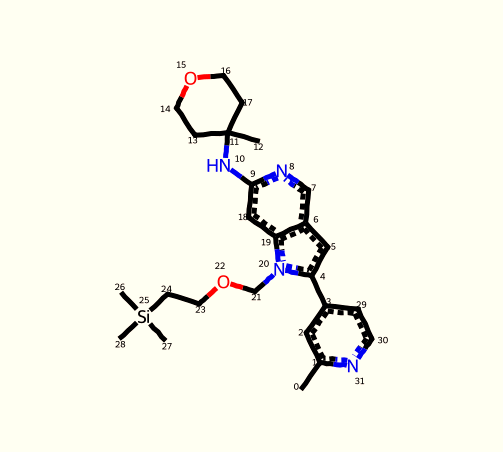 Cc1cc(-c2cc3cnc(NC4(C)CCOCC4)cc3n2COCC[Si](C)(C)C)ccn1